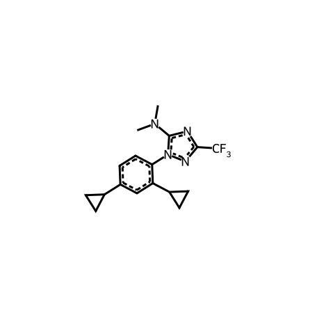 CN(C)c1nc(C(F)(F)F)nn1-c1ccc(C2CC2)cc1C1CC1